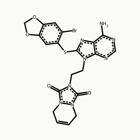 Nc1ncnc2c1nc(Sc1cc3c(cc1Br)OCO3)n2CCn1c(=O)n2n(c1=O)CC=CC2